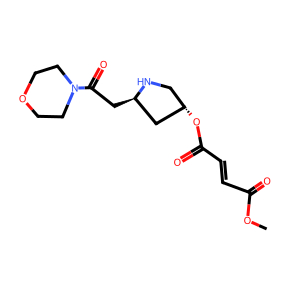 COC(=O)/C=C/C(=O)O[C@H]1CN[C@H](CC(=O)N2CCOCC2)C1